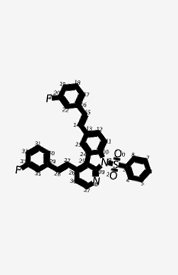 O=S(=O)(c1ccccc1)n1c2ccc(C=Cc3cccc(F)c3)cc2c2c(C=Cc3cccc(F)c3)ccnc21